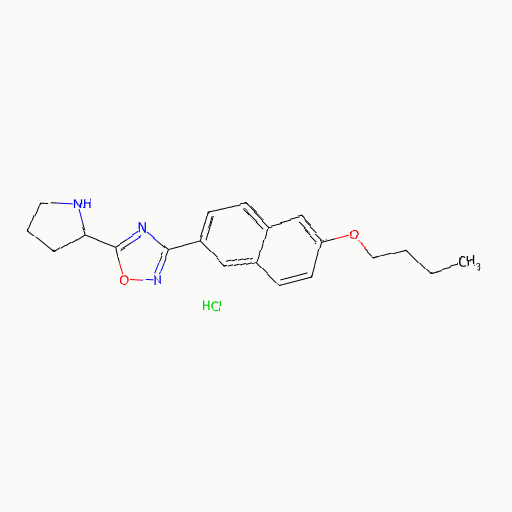 CCCCOc1ccc2cc(-c3noc(C4CCCN4)n3)ccc2c1.Cl